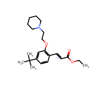 CCOC(=O)/C=C/c1ccc(C(C)(C)C)cc1OCCN1CCCCC1